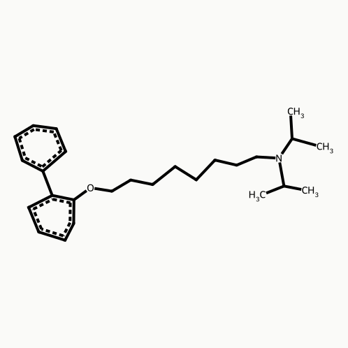 CC(C)N(CCCCCCCCOc1ccccc1-c1ccccc1)C(C)C